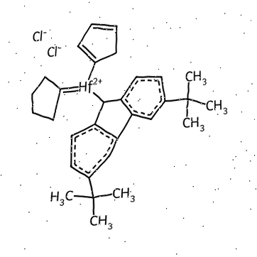 CC(C)(C)c1ccc2c(c1)-c1cc(C(C)(C)C)ccc1[CH]2[Hf+2]([C]1=CC=CC1)=[C]1CCCC1.[Cl-].[Cl-]